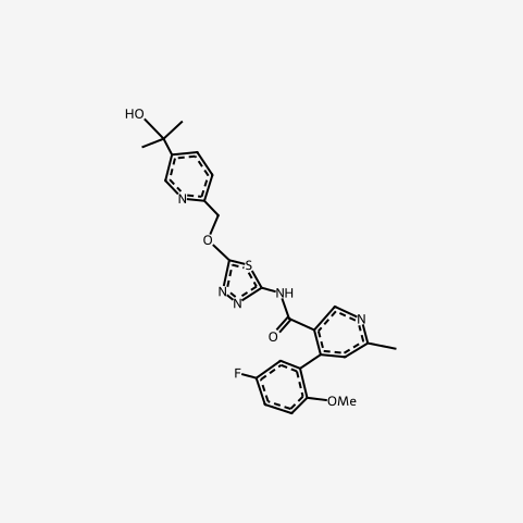 COc1ccc(F)cc1-c1cc(C)ncc1C(=O)Nc1nnc(OCc2ccc(C(C)(C)O)cn2)s1